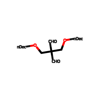 CCCCCCCCCCOCC(C=O)(C=O)COCCCCCCCCCC